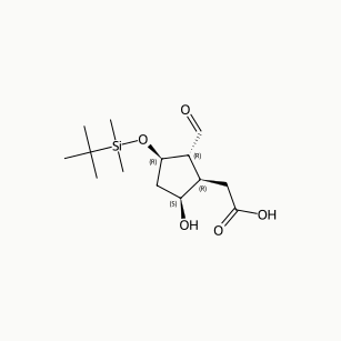 CC(C)(C)[Si](C)(C)O[C@@H]1C[C@H](O)[C@H](CC(=O)O)[C@H]1C=O